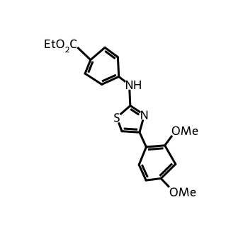 CCOC(=O)c1ccc(Nc2nc(-c3ccc(OC)cc3OC)cs2)cc1